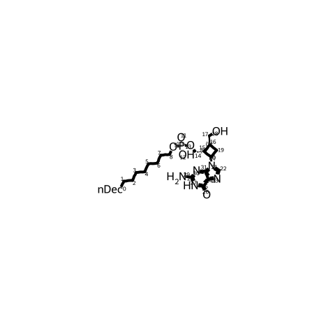 CCCCCCCCCCCCCCCCCCOP(=O)(O)OC[C@@H]1[C@@H](CO)C[C@H]1n1cnc2c(=O)[nH]c(N)nc21